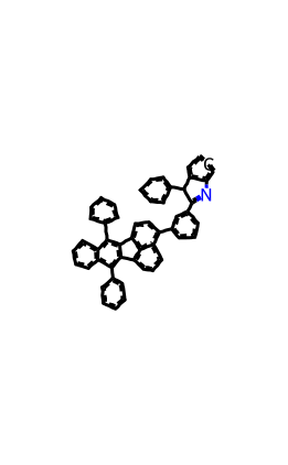 c1ccc(-c2c3c(c(-c4ccccc4)c4ccccc24)-c2ccc(-c4cccc(C5=Nc6ccccc6C5c5ccccc5)c4)c4cccc-3c24)cc1